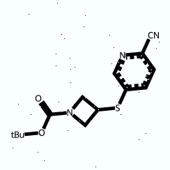 CC(C)(C)OC(=O)N1CC(Sc2ccc(C#N)nc2)C1